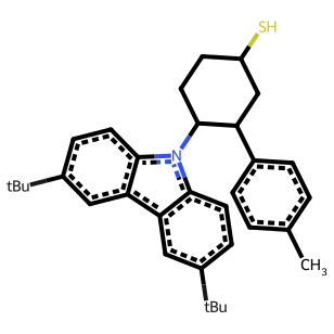 Cc1ccc(C2CC(S)CCC2n2c3ccc(C(C)(C)C)cc3c3cc(C(C)(C)C)ccc32)cc1